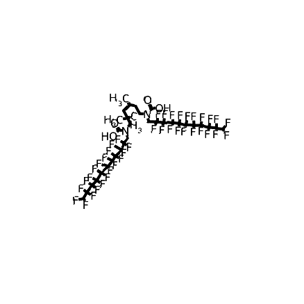 CC(CCN(CC(F)(F)C(F)(F)C(F)(F)C(F)(F)C(F)(F)C(F)(F)C(F)(F)C(F)(F)C(F)(F)C(F)F)C(=O)O)CC(C)(C)CN(CC(F)(F)C(F)(F)C(F)(F)C(F)(F)C(F)(F)C(F)(F)C(F)(F)C(F)(F)C(F)(F)C(F)F)C(=O)O